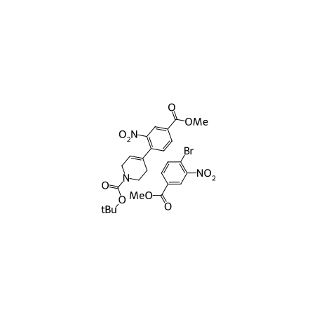 COC(=O)c1ccc(Br)c([N+](=O)[O-])c1.COC(=O)c1ccc(C2=CCN(C(=O)OC(C)(C)C)CC2)c([N+](=O)[O-])c1